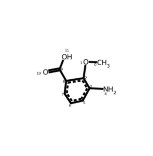 COc1c(N)cccc1C(=O)O